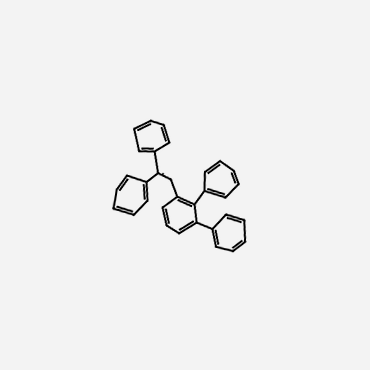 c1ccc([C](Cc2cccc(-c3ccccc3)c2-c2ccccc2)c2ccccc2)cc1